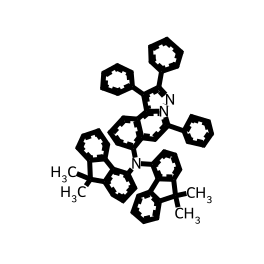 CC1(C)c2ccccc2-c2c(N(c3cccc4c3-c3ccccc3C4(C)C)c3cccc4c3cc(-c3ccccc3)n3nc(-c5ccccc5)c(-c5ccccc5)c43)cccc21